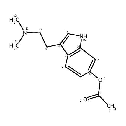 CC(=O)Oc1ccc2c(CCN(C)C)c[nH]c2c1